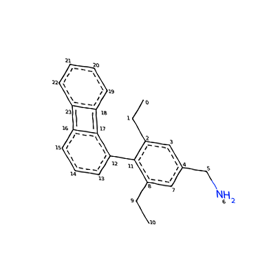 CCc1cc(CN)cc(CC)c1-c1cccc2c1=c1ccccc1=2